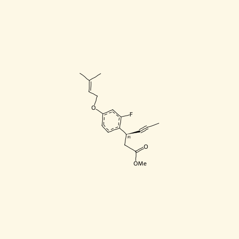 CC#C[C@@H](CC(=O)OC)c1ccc(OCC=C(C)C)cc1F